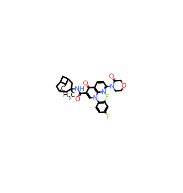 CC1(NC(=O)c2cn(-c3ccc(F)cc3F)c3nc(N4CCOCC4=O)ccc3c2=O)CC2CC3CC(C1)C3C2